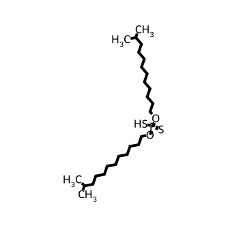 CC(C)CCCCCCCCCCOP(=S)(S)OCCCCCCCCCCC(C)C